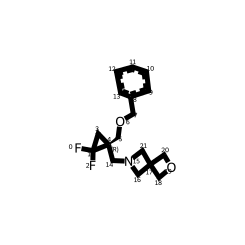 FC1(F)C[C@]1(COCc1ccccc1)CN1CC2(COC2)C1